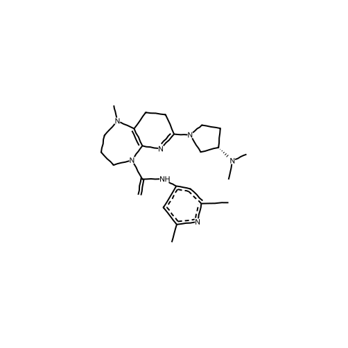 C=C(Nc1cc(C)nc(C)c1)N1CCCN(C)C2=C1N=C(N1CC[C@H](N(C)C)C1)CC2